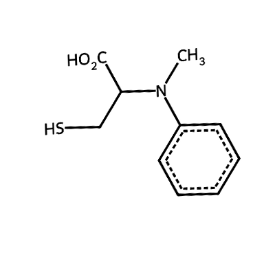 CN(c1ccccc1)C(CS)C(=O)O